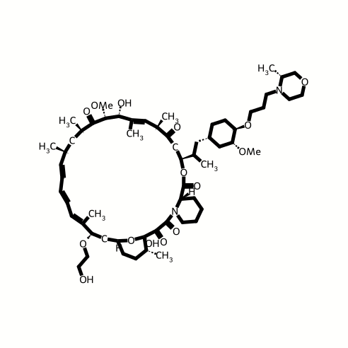 CO[C@@H]1C[C@H](CC(C)[C@@H]2CC(=O)[C@H](C)/C=C(\C)[C@@H](O)[C@@H](OC)C(=O)[C@H](C)C[C@H](C)/C=C/C=C/C=C(\C)[C@@H](OCCO)C[C@@H]3CC[C@@H](C)[C@@](O)(O3)C(=O)C(=O)N3CCCC[C@H]3C(=O)O2)CC[C@H]1OCCCN1CCOC[C@H]1C